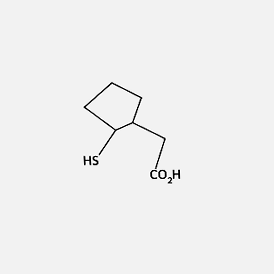 O=C(O)CC1CCCC1S